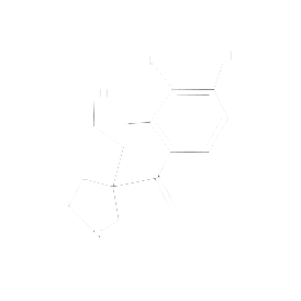 CCCC1(C(=O)c2ccc(Cl)c(Cl)c2O)CCNC1